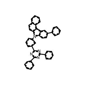 c1ccc(-c2ccc3c(c2)c2c4ccccc4ccc2n3-c2cccc(-c3nc(-c4ccccc4)nc(-c4ccccc4)n3)c2)cc1